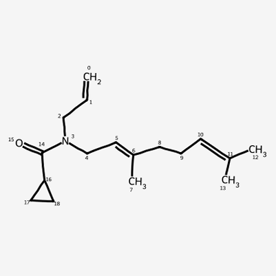 C=CCN(C/C=C(\C)CCC=C(C)C)C(=O)C1CC1